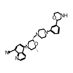 C[C@@H]1CN(c2ccc(C#N)c3ncccc23)C[C@H](CN2CCN(c3cccc(C4CNCCO4)c3)CC2)O1